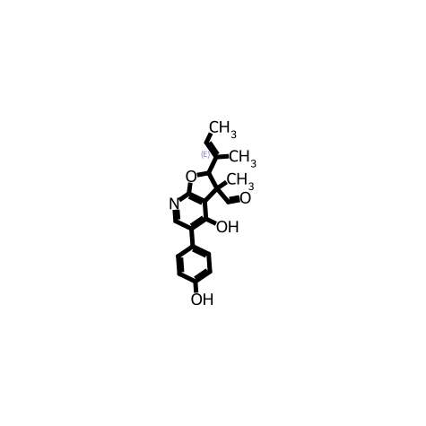 C/C=C(\C)C1Oc2ncc(-c3ccc(O)cc3)c(O)c2C1(C)C=O